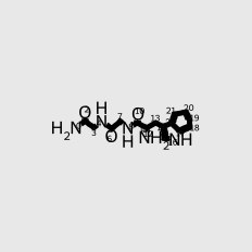 NC(=O)CNC(=O)CNC(=O)[C@@H](N)Cc1c[nH]c2ccccc12